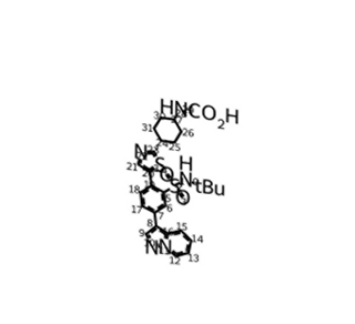 CC(C)(C)NS(=O)(=O)c1cc(-c2cnn3ccccc23)ccc1-c1cnc([C@H]2CC[C@H](NC(=O)O)CC2)s1